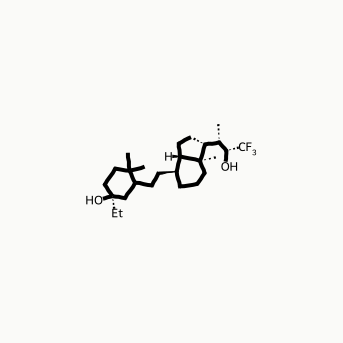 CC[C@]1(O)CCC(C)(C)C(CC[C@@H]2CCC[C@]3(C)[C@@H]([C@H](C)[C@@H](O)C(F)(F)F)CC[C@@H]23)C1